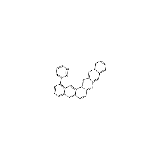 c1cnnc(-c2cccc3cc4ccc5cc6cc7ccccc7cc6cc5c4cc23)c1